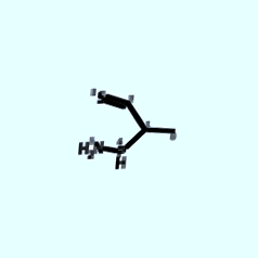 CC(C=S)PN